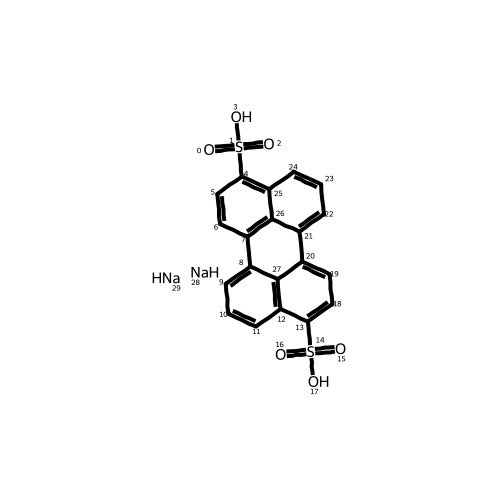 O=S(=O)(O)c1ccc2c3cccc4c(S(=O)(=O)O)ccc(c5cccc1c52)c43.[NaH].[NaH]